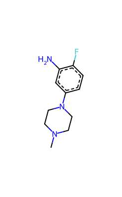 CN1CCN(c2ccc(F)c(N)c2)CC1